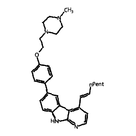 CCCCCC=Cc1ccnc2[nH]c3ccc(-c4ccc(OCCN5CCN(C)CC5)cc4)cc3c12